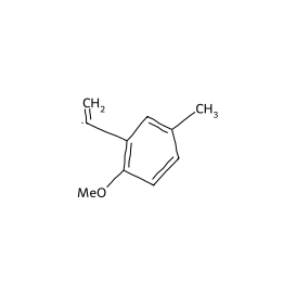 C=[C]c1cc(C)ccc1OC